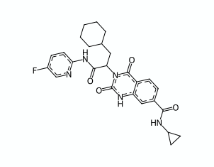 O=C(NC1CC1)c1ccc2c(=O)n(C(CC3CCCCC3)C(=O)Nc3ccc(F)cn3)c(=O)[nH]c2c1